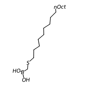 CCCCCCCCCCCCCCCCCSCB(O)O